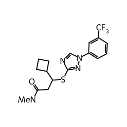 CNC(=O)CC(Sc1ncn(-c2cccc(C(F)(F)F)c2)n1)C1CCC1